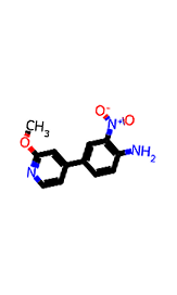 COc1cc(-c2ccc(N)c([N+](=O)[O-])c2)ccn1